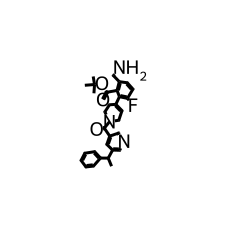 CC(c1ccccc1)c1cncc(C(=O)N2CC=C(c3c(F)ccc(CN)c3C(=O)OC(C)(C)C)CC2)c1